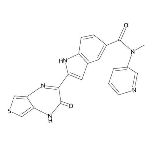 CN(C(=O)c1ccc2[nH]c(-c3nc4cscc4[nH]c3=O)cc2c1)c1cccnc1